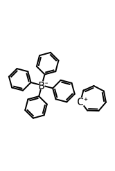 c1ccc([B-](c2ccccc2)(c2ccccc2)c2ccccc2)cc1.c1ccc[cH+]cc1